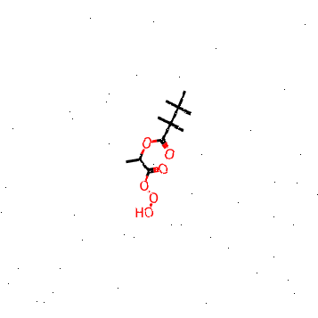 CC(OC(=O)C(C)(C)C(C)(C)C)C(=O)OOO